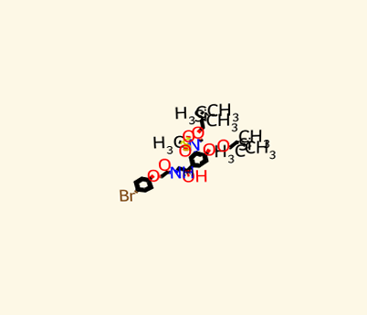 C[Si](C)(C)CCOCOc1ccc([C@@H](O)CNC(=O)COc2ccc(Br)cc2)cc1N(COCC[Si](C)(C)C)S(C)(=O)=O